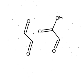 O=CC(=O)O.O=CC=O